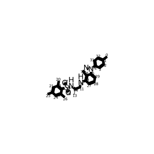 Cc1ccc(-n2ncc3c(NC[C@H](C)NS(=O)(=O)c4c(C)cc(C)cc4C)cccc32)cc1